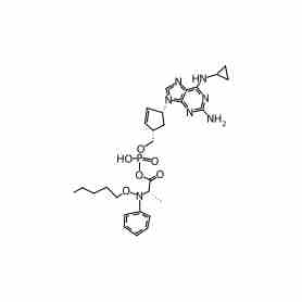 CCCCCON(c1ccccc1)[C@@H](C)C(=O)OP(=O)(O)OC[C@@H]1C=C[C@H](n2cnc3c(NC4CC4)nc(N)nc32)C1